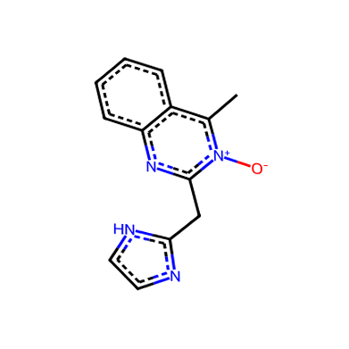 Cc1c2ccccc2nc(Cc2ncc[nH]2)[n+]1[O-]